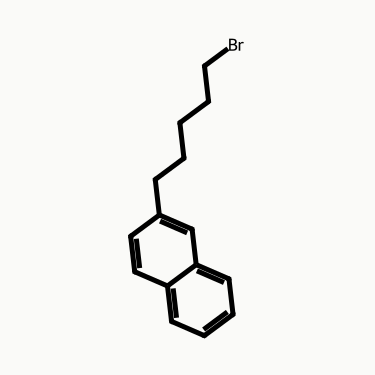 BrCCCCCc1ccc2ccccc2c1